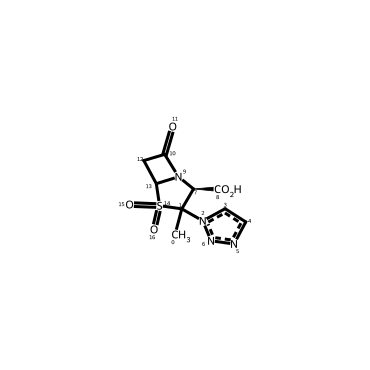 CC1(n2ccnn2)[C@H](C(=O)O)N2C(=O)CC2S1(=O)=O